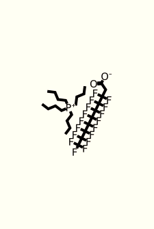 CCCC[P+](CCCC)(CCCC)CCCC.O=C([O-])CC(F)(F)C(F)(F)C(F)(F)C(F)(F)C(F)(F)C(F)(F)C(F)(F)C(F)(F)F